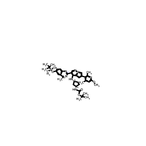 CCc1cc(O[Si](C)(C)C(C)(C)C)ccc1/N=C(\N)c1cnn2cc(-c3c(C)cc(OC)nc3C)cc2c1N[C@@H]1CC[C@H](NC(=O)OC(C)(C)C)C1